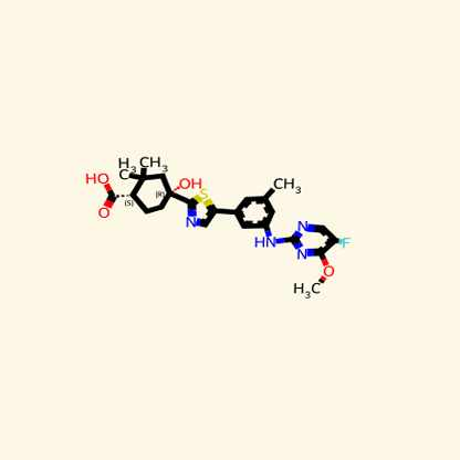 COc1nc(Nc2cc(C)cc(-c3cnc([C@@]4(O)CC[C@H](C(=O)O)C(C)(C)C4)s3)c2)ncc1F